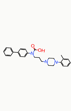 Cc1ccccc1N1CCN(CCCN(C(=O)O)c2ccc(-c3ccccc3)cc2)CC1